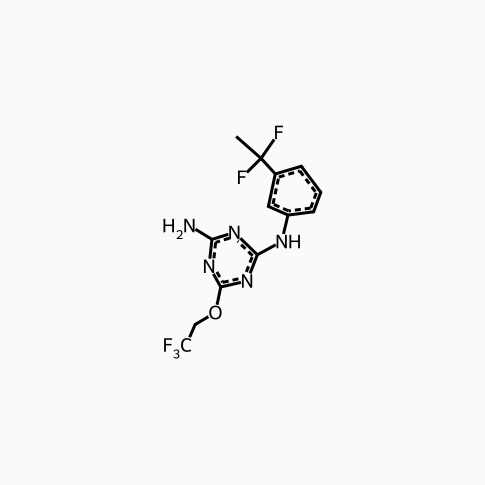 CC(F)(F)c1cccc(Nc2nc(N)nc(OCC(F)(F)F)n2)c1